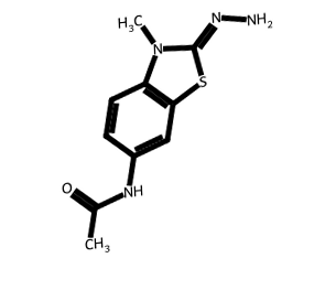 CC(=O)Nc1ccc2c(c1)sc(=NN)n2C